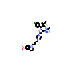 COc1ccc2c(c1)CCCN2C(=O)/C=C/C(=O)N1CCN(C(=O)C[C@@H]2N=C(c3ccc(Cl)cc3)c3c(sc(C)c3C)-n3c(C)nnc32)CC1